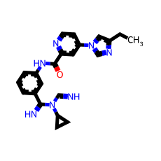 CCc1cn(-c2ccnc(C(=O)Nc3cccc(C(=N)N(C=N)C4CC4)c3)c2)cn1